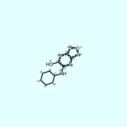 Oc1nc2nonc2nc1NC1CCCCC1